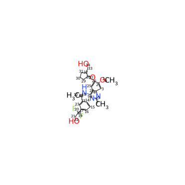 COc1cc2nc(C)nc(N[C@H](C)c3cccc(C(F)(F)CO)c3)c2cc1OC1CCCC1CO